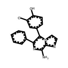 Nc1nc(-c2ccccc2)c(-c2ccc(O)c(Cl)c2)n2ccnc12